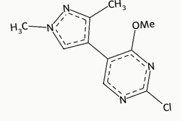 COc1nc(Cl)ncc1-c1cn(C)nc1C